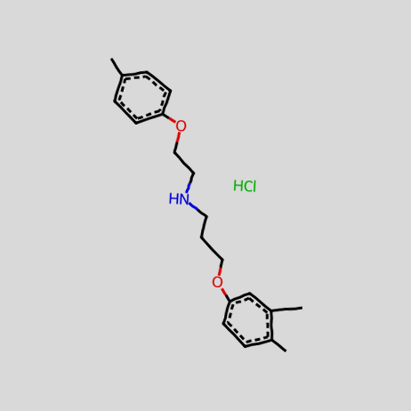 Cc1ccc(OCCNCCCOc2ccc(C)c(C)c2)cc1.Cl